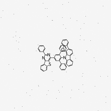 c1ccc(-c2nc(-c3cc(-c4ccccc4)c(-n4c5ccccc5c5ccc6c7ccccc7oc6c54)c(-c4ccccc4)c3)c3sc4ccccc4c3n2)cc1